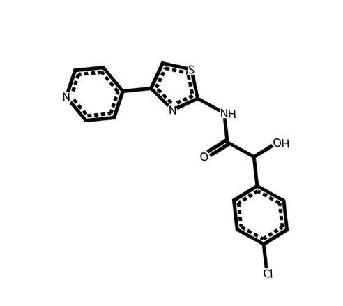 O=C(Nc1nc(-c2ccncc2)cs1)C(O)c1ccc(Cl)cc1